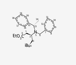 CCOC(=O)C[C@H](C[C@H](C)CC)N(Cc1ccccc1)[C@@H](C)c1ccccc1